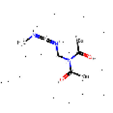 CN=C=NCN(C(=O)C(C)(C)C)C(=O)C(C)(C)C